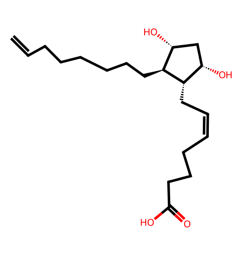 C=CCCCCCC[C@@H]1[C@@H](C/C=C\CCCC(=O)O)[C@@H](O)C[C@H]1O